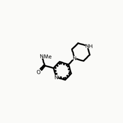 CNC(=O)c1cc(N2CCNCC2)ccn1